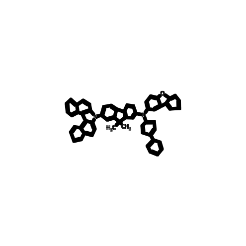 CC1(C)c2cc(N(c3ccc(-c4ccccc4)cc3)c3ccc4oc5ccccc5c4c3)ccc2-c2ccc(-n3c4ccc5ccccc5c4c4c5ccccc5ccc43)cc21